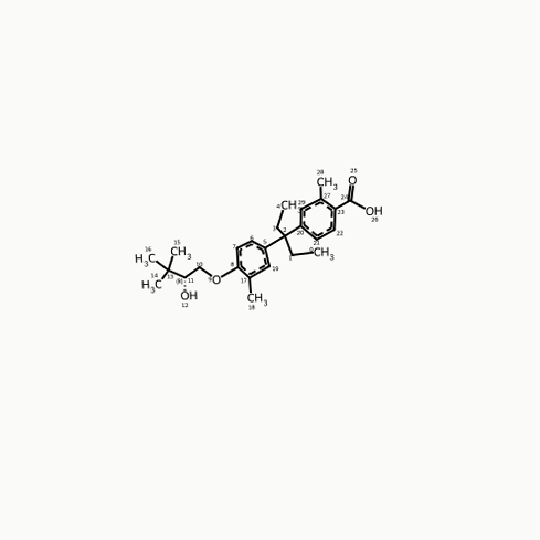 CCC(CC)(c1ccc(OC[C@H](O)C(C)(C)C)c(C)c1)c1ccc(C(=O)O)c(C)c1